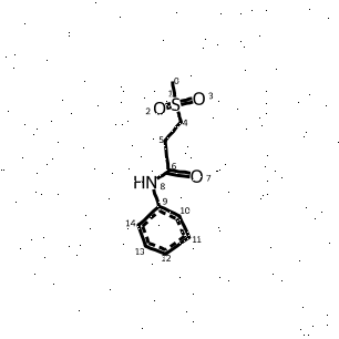 CS(=O)(=O)CCC(=O)Nc1ccccc1